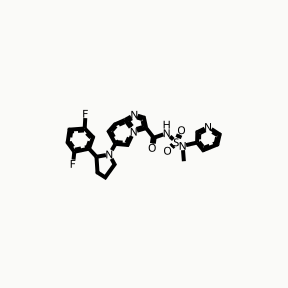 CN(c1cccnc1)S(=O)(=O)NC(=O)c1cnc2ccc(N3CCCC3c3cc(F)ccc3F)cn12